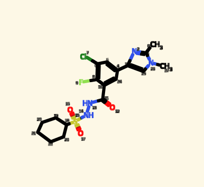 Cc1nc(-c2cc(Cl)c(F)c(C(=O)NNS(=O)(=O)C3CCCCC3)c2)cn1C